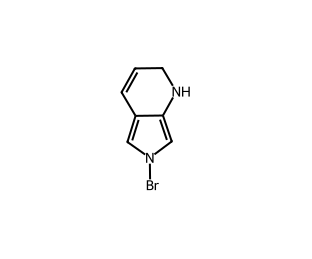 Brn1cc2c(c1)NCC=C2